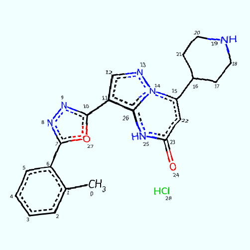 Cc1ccccc1-c1nnc(-c2cnn3c(C4CCNCC4)cc(=O)[nH]c23)o1.Cl